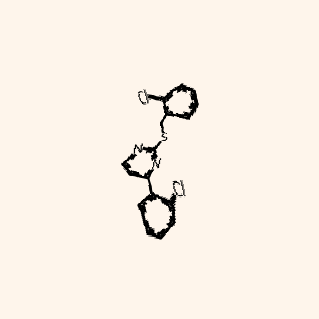 Clc1ccccc1CSc1nccc(-c2ccccc2Cl)n1